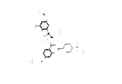 COc1ccc2c(c1)O[C@@H]([C@H]1CC[C@H](C(=O)O)CC1)C[C@H]2NC(=O)[C@@]1(C)COc2c1cc1c(c2I)OC(F)(F)O1